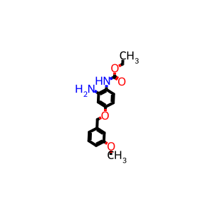 CCOC(=O)Nc1ccc(OCc2cccc(OC)c2)cc1N